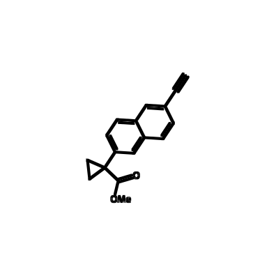 C#Cc1ccc2cc(C3(C(=O)OC)CC3)ccc2c1